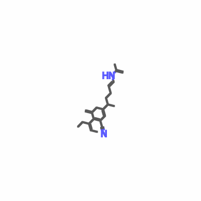 C=C(C)N/C=C/CCC(C)C1=CC(C#N)=C(/C(=C\C)CC)C(=C)C1